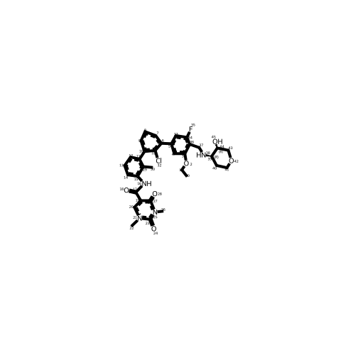 CCOc1cc(-c2cccc(-c3cccc(NC(=O)c4cn(C)c(=O)n(C)c4=O)c3C)c2Cl)cc(F)c1CN[C@@H]1CCOC[C@@H]1O